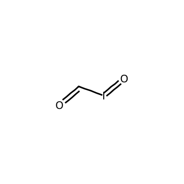 O=CI=O